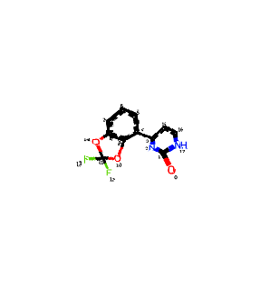 O=c1nc(-c2cccc3c2OC(F)(F)O3)cc[nH]1